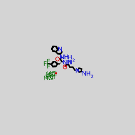 Cl.Cl.Cl.Cl.NC1CCN(CCC[C@H](N)C(=O)N[C@H](Cc2ccc(C(F)(F)F)cc2)C(=O)Nc2cnc3ccccc3c2)C1